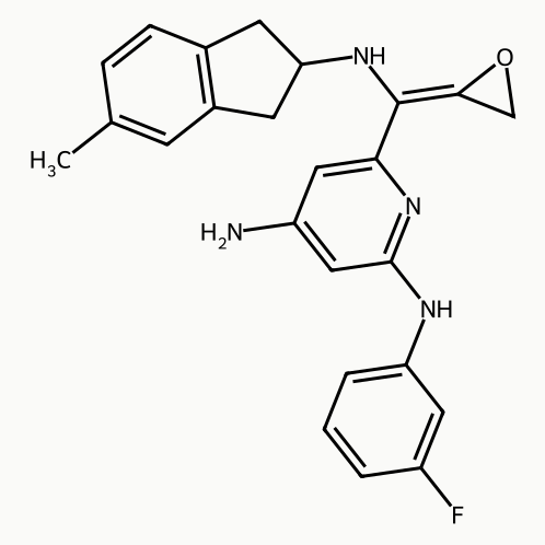 Cc1ccc2c(c1)CC(N/C(=C1/CO1)c1cc(N)cc(Nc3cccc(F)c3)n1)C2